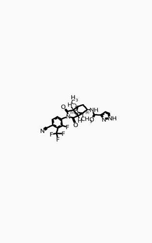 C[C@]12O[C@](C)(C[C@H]1NC(=O)c1cc[nH]n1)[C@H]1C(=O)N(c3ccc(C#N)c(C(F)(F)F)c3F)C(=O)[C@H]12